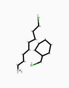 BrCC1CCCCC1.CCCCCCCCCBr